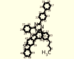 CCCCc1ccc(-c2nc(-c3ccc(-c4ccccc4)cc3)nc(-c3ccccc3-n3c4ccccc4c4cc5c(cc43)sc3ccccc35)n2)cc1